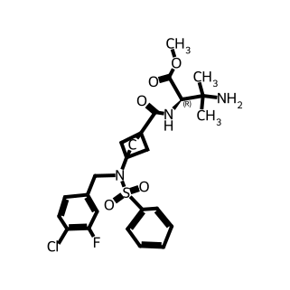 COC(=O)[C@H](NC(=O)C12CC(N(Cc3ccc(Cl)c(F)c3)S(=O)(=O)c3ccccc3)(C1)C2)C(C)(C)N